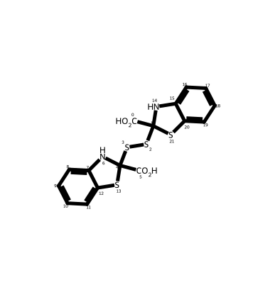 O=C(O)C1(SSC2(C(=O)O)Nc3ccccc3S2)Nc2ccccc2S1